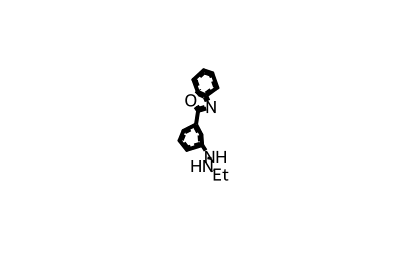 CCNNc1cccc(-c2nc3ccccc3o2)c1